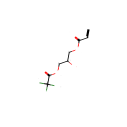 C=CC(=O)OCC(O)COC(=O)C(Cl)(Cl)Cl